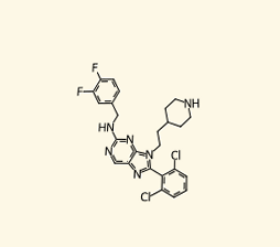 Fc1ccc(CNc2ncc3nc(-c4c(Cl)cccc4Cl)n(CCC4CCNCC4)c3n2)cc1F